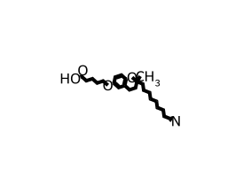 CC1(CCCCCCCCC#N)CCc2cc(OCCCCC(=O)O)ccc2O1